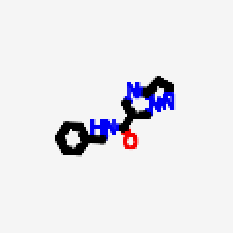 O=C(NCc1ccccc1)c1cnc2ccnn2c1